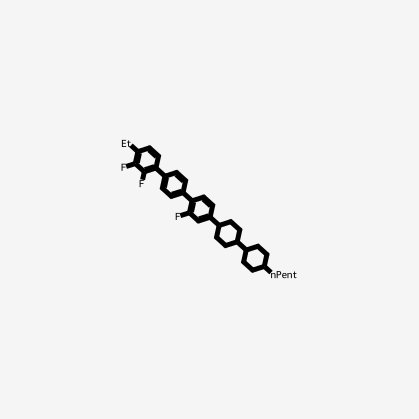 CCCCCC1CCC(C2CCC(c3ccc(-c4ccc(-c5ccc(CC)c(F)c5F)cc4)c(F)c3)CC2)CC1